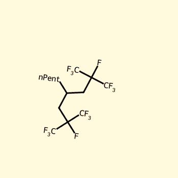 CCCCCC(CC(F)(C(F)(F)F)C(F)(F)F)CC(F)(C(F)(F)F)C(F)(F)F